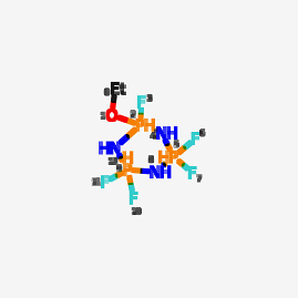 CCO[PH]1(F)N[PH](F)(F)N[PH](F)(F)N1